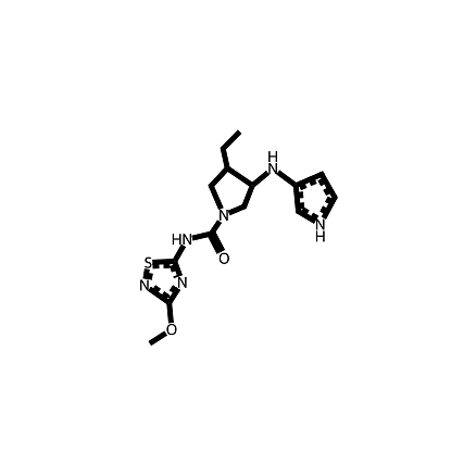 CCC1CN(C(=O)Nc2nc(OC)ns2)CC1Nc1cc[nH]c1